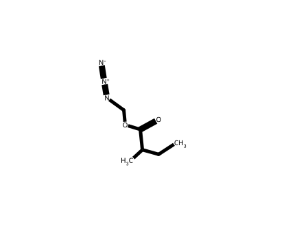 CCC(C)C(=O)OCN=[N+]=[N-]